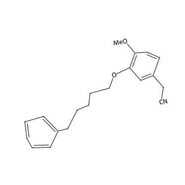 COc1ccc(CC#N)cc1OCCCCCc1ccccc1